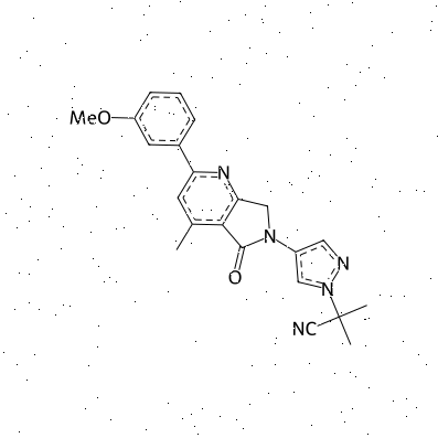 COc1cccc(-c2cc(C)c3c(n2)CN(c2cnn(C(C)(C)C#N)c2)C3=O)c1